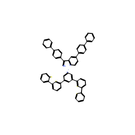 c1ccc(-c2ccc(-c3ccc4c(c3)c(-c3ccc(-c5ccccc5)cc3)cn4-c3cc(-c4cccc5c4sc4ccccc45)cc(-c4cccc5c4sc4ccccc45)c3)cc2)cc1